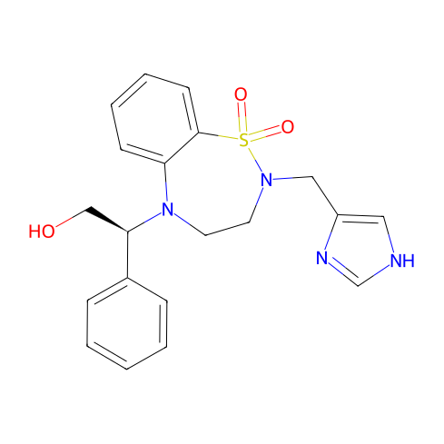 O=S1(=O)c2ccccc2N([C@H](CO)c2ccccc2)CCN1Cc1c[nH]cn1